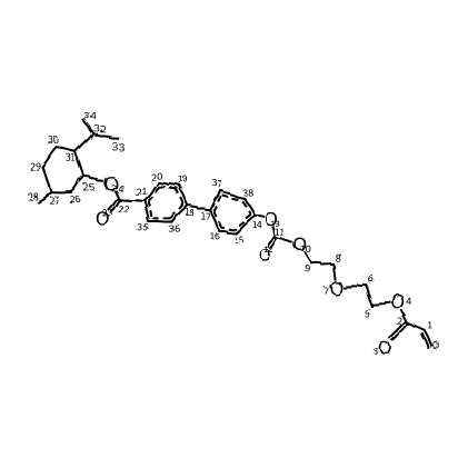 C=CC(=O)OCCOCCOC(=O)Oc1ccc(-c2ccc(C(=O)OC3CC(C)CCC3C(C)C)cc2)cc1